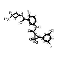 CC1(F)CC(NC(=O)c2cc(NC(=O)C3C(c4cc(F)cc(Cl)c4)C3(Cl)Cl)ccc2Cl)C1